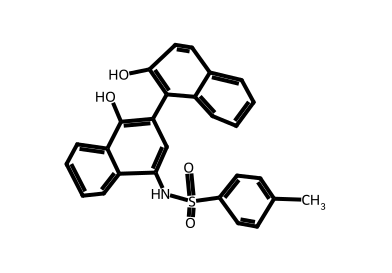 Cc1ccc(S(=O)(=O)Nc2cc(-c3c(O)ccc4ccccc34)c(O)c3ccccc23)cc1